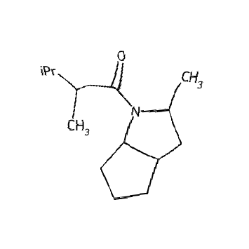 CC(C)C(C)C(=O)N1C(C)CC2CCCC21